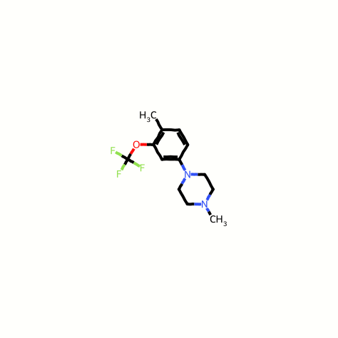 Cc1ccc(N2CCN(C)CC2)cc1OC(F)(F)F